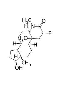 CN1C(=O)C(F)C[C@]2(C)[C@H]3CC[C@]4(C)[C@@H](O)CC[C@H]4[C@@H]3CC[C@@H]12